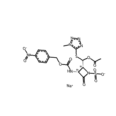 CC(=O)OC(Sc1nnnn1C)[C@H]1[C@@H](NC(=O)OCc2ccc([N+](=O)[O-])cc2)C(=O)N1S(=O)(=O)[O-].[Na+]